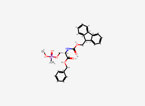 CCOP(C)(=O)OC[C@H](NC(=O)OCC1c2ccccc2-c2ccccc21)C(=O)OCc1ccccc1